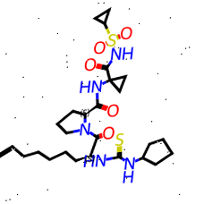 C=CCCCCC[C@H](NC(=S)NC1CCCC1)C(=O)N1CCC[C@H]1C(=O)NC1(C(=O)NS(=O)(=O)C2CC2)CC1